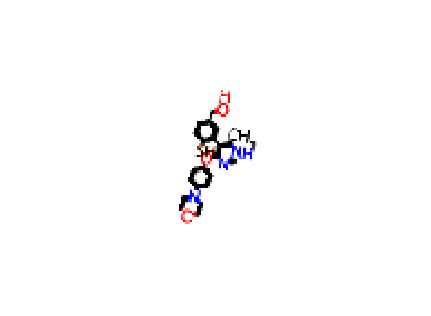 CC1NC=NC(O[C@H]2CC[C@H](N3CCOCC3)CC2)C1[C@@H]1C[C@H](CO)CCC1S